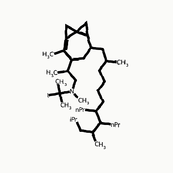 CCCC(CCCCC(C)CC1CC(C(C)CN(C)C(C)(C)I)C(C)=C2CC23CC13)C(CCC)C(C)CC(C)C